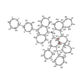 c1ccc(-c2ccc(-c3c4ccccc4c(N(c4ccc5c(c4)-c4ccccc4C5(c4ccccc4)c4ccccc4)c4ccc5ccccc5c4-c4ccccc4)c4ccccc34)cc2)cc1